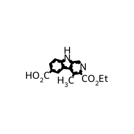 CCOC(=O)c1ncc2[nH]c3ccc(C(=O)O)cc3c2c1C